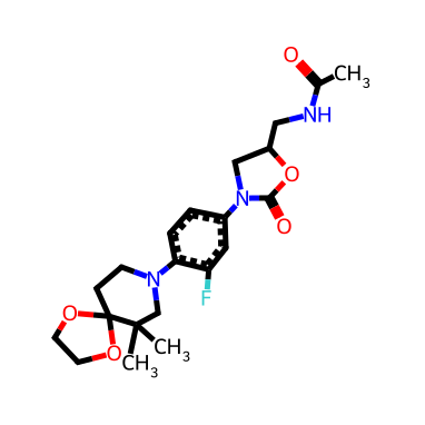 CC(=O)NCC1CN(c2ccc(N3CCC4(OCCO4)C(C)(C)C3)c(F)c2)C(=O)O1